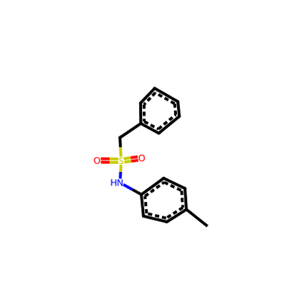 Cc1ccc(NS(=O)(=O)Cc2ccccc2)cc1